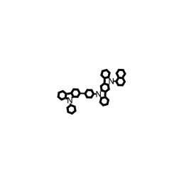 c1ccc(-n2c3ccccc3c3ccc(-c4ccc(-n5c6ccccc6c6cc7c(cc65)c5ccccc5n7-c5cccc6ccccc56)cc4)cc32)cc1